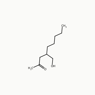 CCCCCC(CO)CC(C)=O